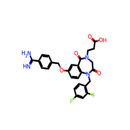 N=C(N)c1ccc(COc2ccc3c(c2)C(=O)N(CCC(=O)O)CC(=O)N3Cc2ccc(F)cc2F)cc1